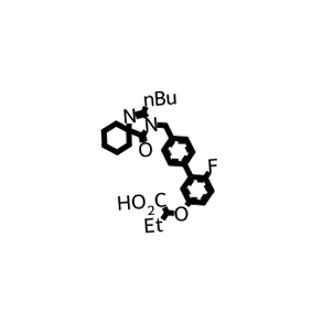 CCCCC1=NC2(CCCCC2)C(=O)N1Cc1ccc(-c2cc(OC(CC)C(=O)O)ccc2F)cc1